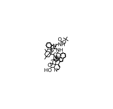 Cc1c(C2(C(C)(C)C)C(c3cc4cccc(C(=O)Nc5nc6ccccc6s5)c4[nH]3)=CC=NC2C(=O)O)cnn1CC12CC3(C)CC(C)(C1)CC(OCCNC(=O)OC(C)(C)C)(C3)C2